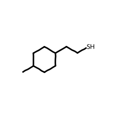 CC1CCC(CCS)CC1